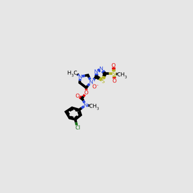 CN1CC(OC(=O)N(C)c2cccc(Cl)c2)[N+]([O-])(c2nnc(S(C)(=O)=O)s2)C1